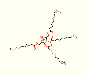 CCCCCCCCC(=O)OC[C@@H](O)[C@@H](OC(=O)CCCCCCCC)[C@H](OC(=O)CCCCCCCC)[C@@H](O)COC(=O)CCCCCCCC